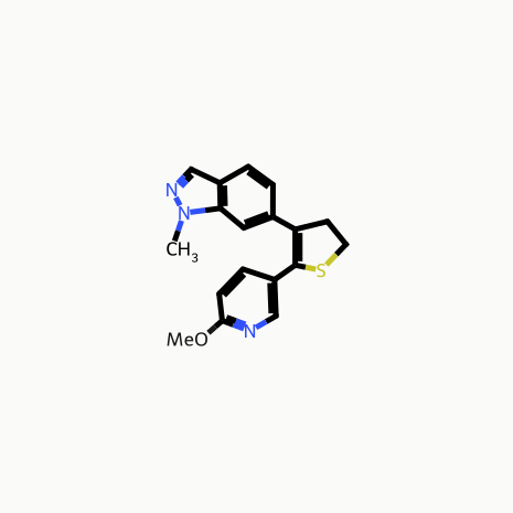 COc1ccc(C2=C(c3ccc4cnn(C)c4c3)CCS2)cn1